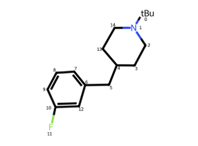 CC(C)(C)N1CCC(Cc2cccc(F)c2)CC1